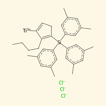 CCCCC1=C([Si](c2cc(C)cc(C)c2)(c2cc(C)cc(C)c2)c2cc(C)cc(C)c2)CC=[C]1[Ti+3].[Cl-].[Cl-].[Cl-]